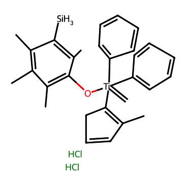 Cl.Cl.[CH2]=[Ti]([O]c1c(C)c(C)c(C)c([SiH3])c1C)([C]1=C(C)C=CC1)([c]1ccccc1)[c]1ccccc1